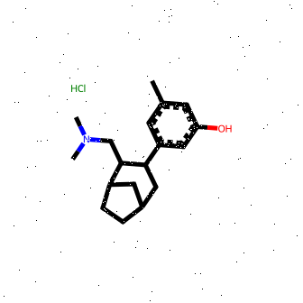 Cc1cc(O)cc(C2CC3CCC(C3)C2CN(C)C)c1.Cl